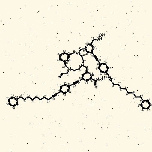 C=CCN1CCN(Cc2cc(C#Cc3ccc(C#CCCCCCCCCc4ccccc4)cc3)cc(C(=C)O)n2)CCN(Cc2cc(C#Cc3ccc(C#CCCCCCCCCc4ccccc4)cc3)cc(CBO)n2)Cc2cccc(n2)C1